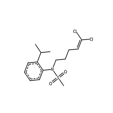 CC(C)c1ccccc1N(CCCC=C(Cl)Cl)S(C)(=O)=O